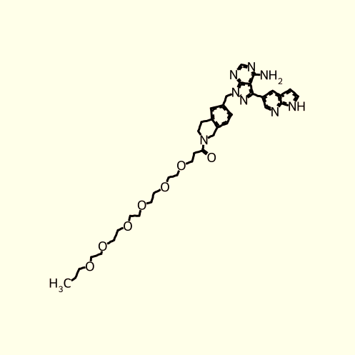 CCCOCCOCCOCCOCCOCCOCCC(=O)N1CCc2cc(Cn3nc(-c4cnc5[nH]ccc5c4)c4c(N)ncnc43)ccc2C1